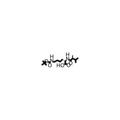 CC(C)[C@H](C)C(=O)N[C@@H](CCCCNC(=O)OC(C)(C)C)C(=O)O